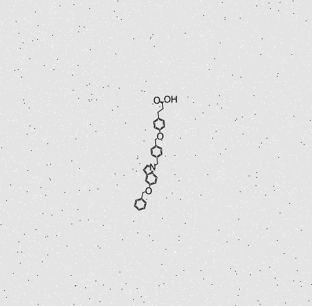 O=C(O)CCc1ccc(OCc2ccc(Cn3ccc4cc(OCc5ccccc5)ccc43)cc2)cc1